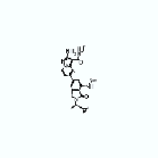 CCNC(=O)c1c(N)nn2ccc(-c3cc4c(c(NSC)c3)C(=O)N(C(C)C3CC3)C4)nc12